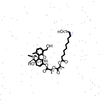 CCCCCCCC/C=C\CCCCCCCC(=O)O[C@@H](C)C(=O)O[C@@H](C)C(=O)OC1=CC[C@@]2(O)[C@@H](C)N(C)CC[C@@]23c2c(C)ccc(CO)c2O[C@@H]13